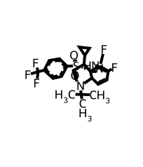 CC(C)(C)N1C=CC(C2CC2)C23C(=C(F)C=CC12)N(F)N[C@@H]3S(=O)(=O)c1ccc(C(F)(F)F)cc1